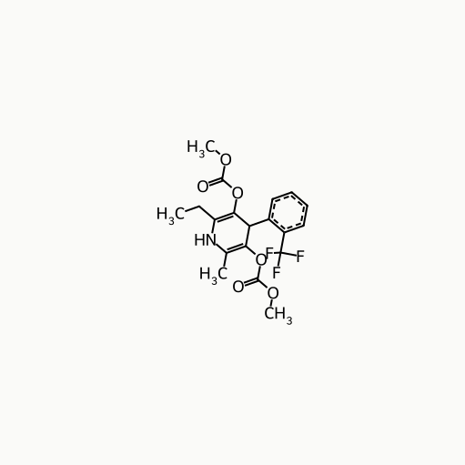 CCC1=C(OC(=O)OC)C(c2ccccc2C(F)(F)F)C(OC(=O)OC)=C(C)N1